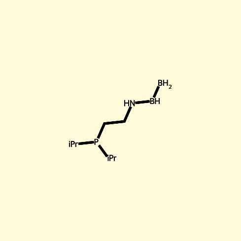 BBNCCP(C(C)C)C(C)C